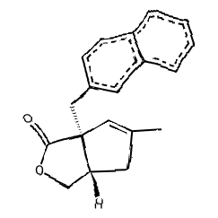 CC1=C[C@]2(Cc3ccc4ccccc4c3)C(=O)OC[C@H]2C1